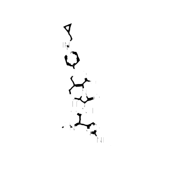 CO/N=C(\C(=O)N[C@@H]1C(=O)N2C(C(=O)[O-])=C(CSc3cc[n+](NCC4CC4)cc3)CS[C@H]12)c1csc(N)n1